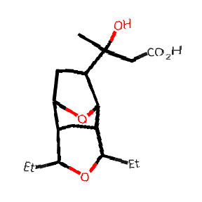 CCC1OC(CC)C2C3OC(CC3C(C)(O)CC(=O)O)C12